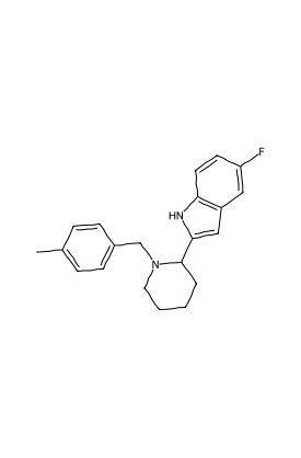 Cc1ccc(CN2CCCCC2c2cc3cc(F)ccc3[nH]2)cc1